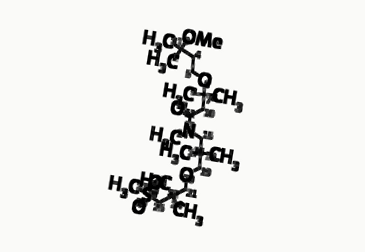 COC(C)(C)CCOC(C)(C)CC(=O)N(C)CC(C)(C)COCC(C)(C)CS(C)(=O)=O